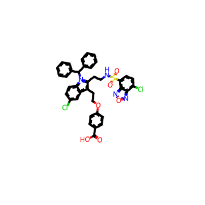 O=C(O)c1ccc(OCCc2c(CCNS(=O)(=O)c3ccc(Cl)c4nonc34)n(C(c3ccccc3)c3ccccc3)c3ccc(Cl)cc23)cc1